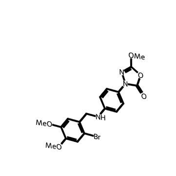 COc1nn(-c2ccc(NCc3cc(OC)c(OC)cc3Br)cc2)c(=O)o1